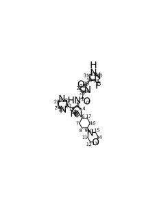 O=C(Nc1cn(C2CCC(N3CCOCC3)CC2)nc1-c1cnccn1)c1coc(-c2c[nH]nc2F)n1